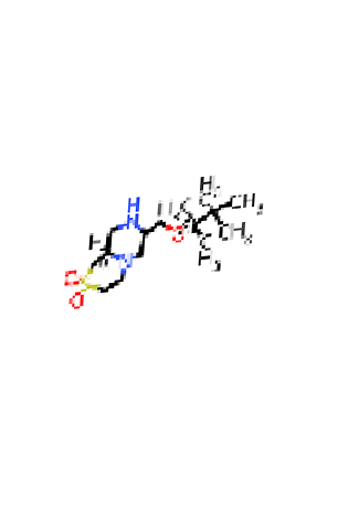 CC(C)(C)[Si](C)(C)OCC1CN2CCS(=O)(=O)C[C@@H]2CN1